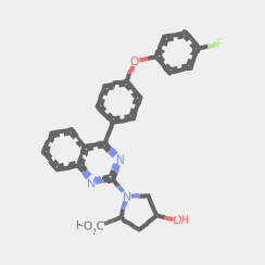 O=C(O)C1CC(O)CN1c1nc(-c2ccc(Oc3ccc(F)cc3)cc2)c2ccccc2n1